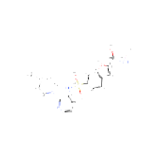 COC1CCN(c2ncccc2NS(=O)(=O)c2ccc3cc(C(=O)NO)oc3c2)CC1